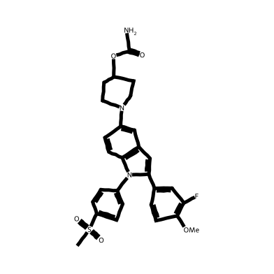 COc1ccc(-c2cc3cc(N4CCC(OC(N)=O)CC4)ccc3n2-c2ccc(S(C)(=O)=O)cc2)cc1F